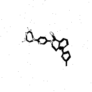 Cc1ccc(-c2cccc3c(=O)n(-c4ccc(N5C[C@@H](C)O[C@@H](C)C5)nc4)ccc23)cc1